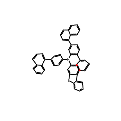 c1ccc(-c2ccc(-c3cccc4ccccc34)cc2N(c2ccc(-c3cccc4ccccc34)cc2)c2ccc3c(c2)sc2ccccc23)cc1